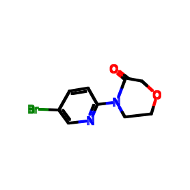 O=C1COCCN1c1ccc(Br)cn1